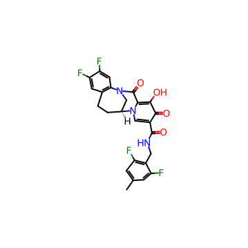 Cc1cc(F)c(CNC(=O)c2cn3c(c(O)c2=O)C(=O)N2C[C@@H]3CCc3cc(F)c(F)cc32)c(F)c1